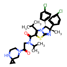 CC(C)C1=C(C(=O)N(CC(=O)N2CCNC3(CC3)C2)C(C)C)SC2=N[C@@](C)(c3ccc(Cl)cc3)[C@@H](c3ccc(Cl)cc3)N21